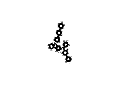 CC1C=C(c2ccccc2)C=CC1N(c1ccccc1)c1ccc2c(c1)N(c1ccc(-c3ccc(-c4ccccc4)cc3)cc1)C1=CC=CCC12